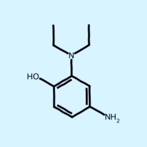 CCN(CC)c1cc(N)ccc1O